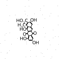 Cc1c(C(=O)O)c(O)cc2cc3c(c(O)c12)C(=O)c1c(O)cc(O)cc1C3=O